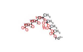 CC(=O)O.CC(=O)O.CC(=O)O.CC(=O)O.CC(=O)O.CC(=O)[O-].CC(=O)[O-].[Pd+2]